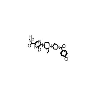 CC[C@H]1CN(c2ncc(C(N)=O)nc2OC)CCN1C1CCN(C(=O)c2ccc(Cl)cc2)CC1